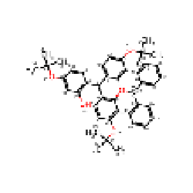 CC(C)(C)Oc1ccc(C(c2ccc(OC(C)(C)C)cc2O)c2ccc(OC(C)(C)C)cc2O[SiH](c2ccccc2)c2ccccc2)cc1